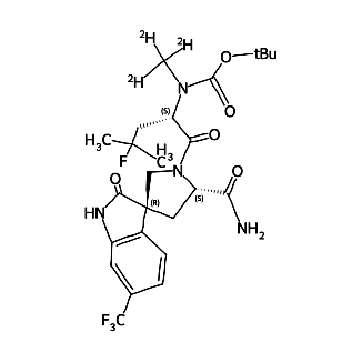 [2H]C([2H])([2H])N(C(=O)OC(C)(C)C)[C@@H](CC(C)(C)F)C(=O)N1C[C@]2(C[C@H]1C(N)=O)C(=O)Nc1cc(C(F)(F)F)ccc12